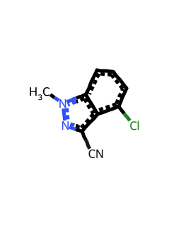 Cn1nc(C#N)c2c(Cl)cccc21